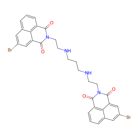 O=C1c2cccc3cc(Br)cc(c23)C(=O)N1CCNCCCNCCN1C(=O)c2cccc3cc(Br)cc(c23)C1=O